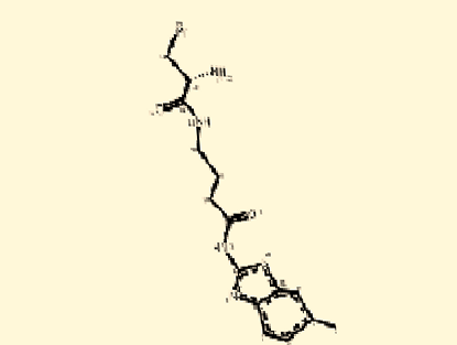 Cc1ccc2nc(NC(=O)CCCNC(=O)[C@@H](N)CC(C)C)sc2c1